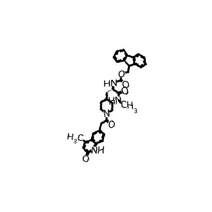 CNC(=O)[C@H](CC1CCN(C(=O)Cc2ccc3[nH]c(=O)cc(C)c3c2)CC1)NC(=O)OCC1c2ccccc2-c2ccccc21